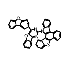 c1ccc2c(c1)oc1ccc(-c3nc(-n4c5ccccc5c5c6ccccc6c6sc7ccccc7c6c54)nc4c3oc3ccccc34)cc12